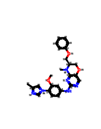 COc1cc(Nc2ncc3c(n2)N(C)[C@@H](COc2ccccc2)CO3)ccc1-n1cnc(C)c1